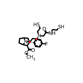 COC(=O)C1C2CCC(C[C@@H]1c1ccc(F)cc1)N2CCCN(CCS)CC(=O)NCCS